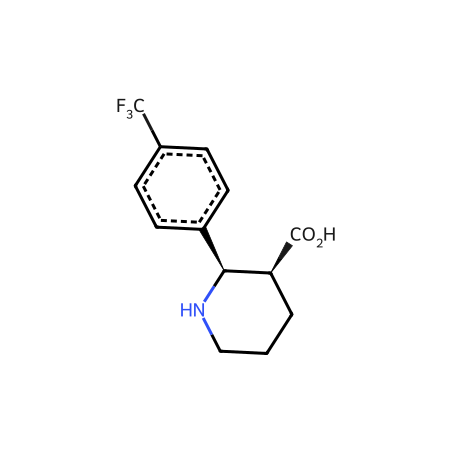 O=C(O)[C@H]1CCCN[C@H]1c1ccc(C(F)(F)F)cc1